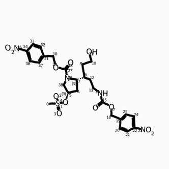 CS(=O)(=O)O[C@@H]1C[C@@H](C(CCO)CCNC(=O)OCc2ccc([N+](=O)[O-])cc2)N(C(=O)OCc2ccc([N+](=O)[O-])cc2)C1